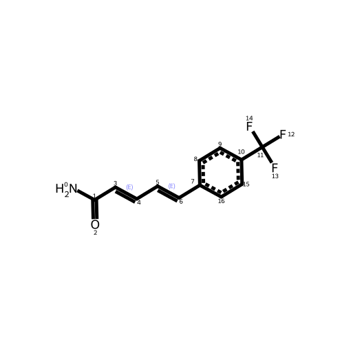 NC(=O)/C=C/C=C/c1ccc(C(F)(F)F)cc1